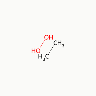 CC.OO